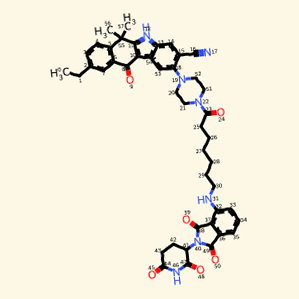 CCc1ccc2c(c1)C(=O)c1c([nH]c3cc(C#N)c(N4CCN(C(=O)CCCCCCNc5cccc6c5C(=O)N(C5CCC(=O)NC5=O)C6=O)CC4)cc13)C2(C)C